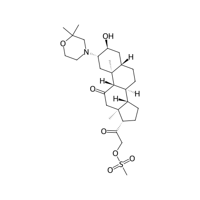 CC1(C)CN([C@H]2C[C@@]3(C)[C@@H](CC[C@H]4[C@@H]5CC[C@H](C(=O)COS(C)(=O)=O)[C@@]5(C)CC(=O)[C@@H]43)C[C@@H]2O)CCO1